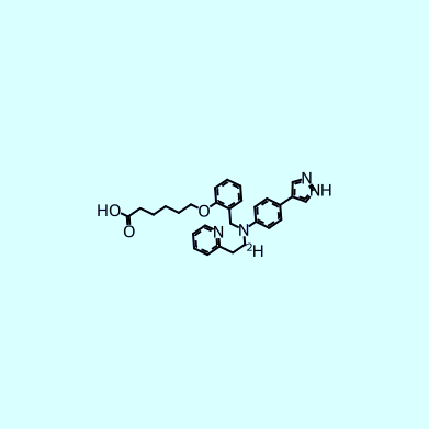 [2H]C(Cc1ccccn1)N(Cc1ccccc1OCCCCCC(=O)O)c1ccc(-c2cn[nH]c2)cc1